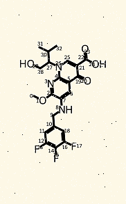 COc1nc2c(cc1NCc1cc(F)c(F)c(F)c1)c(=O)c(C(=O)O)cn2C(CO)C(C)C